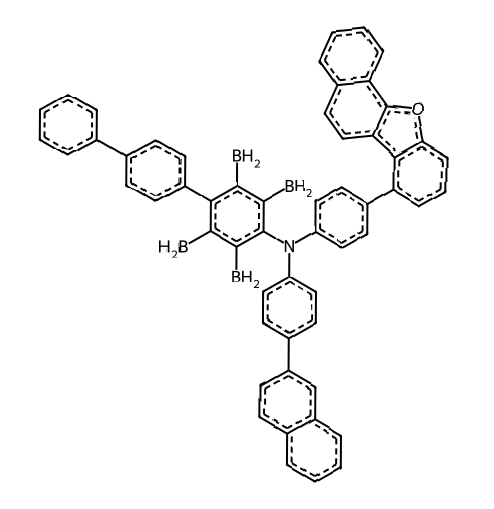 Bc1c(B)c(N(c2ccc(-c3ccc4ccccc4c3)cc2)c2ccc(-c3cccc4oc5c6ccccc6ccc5c34)cc2)c(B)c(B)c1-c1ccc(-c2ccccc2)cc1